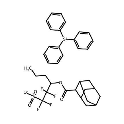 CCCC(OC(=O)C1C2CC3CC(C2)CC1C3)C(F)(F)C(F)(F)S(=O)(=O)[O-].c1ccc([S+](c2ccccc2)c2ccccc2)cc1